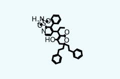 CCC(C1=C(O)CC(CCc2ccccc2)(CCc2ccccc2)OC1=O)c1ccnc(S(N)(=O)=O)c1-c1ccccc1